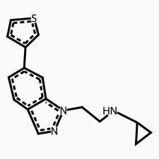 c1cc(-c2ccc3cnn(CCNC4CC4)c3c2)cs1